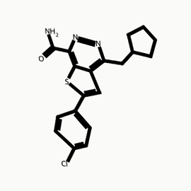 NC(=O)c1nnc(CC2CCCC2)c2cc(-c3ccc(Cl)cc3)sc12